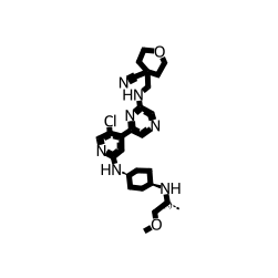 COC[C@@H](C)N[C@H]1CC[C@H](Nc2cc(-c3cncc(NCC4(C#N)CCOCC4)n3)c(Cl)cn2)CC1